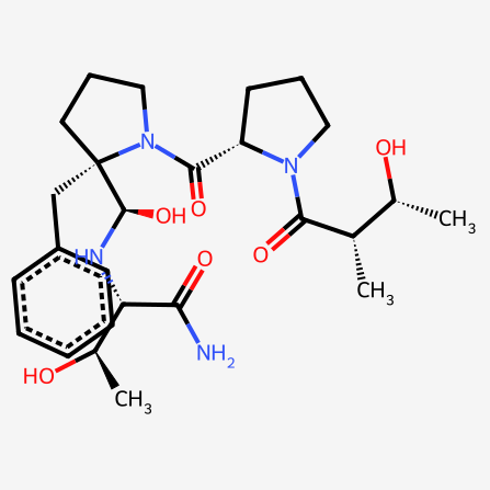 C[C@H](C(=O)N1CCC[C@H]1C(=O)N1CCC[C@]1(Cc1ccccc1)[C@@H](O)N[C@H](C(N)=O)[C@@H](C)O)[C@@H](C)O